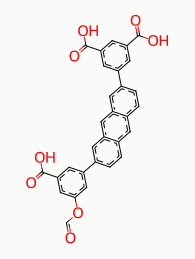 O=COc1cc(C(=O)O)cc(-c2ccc3cc4ccc(-c5cc(C(=O)O)cc(C(=O)O)c5)cc4cc3c2)c1